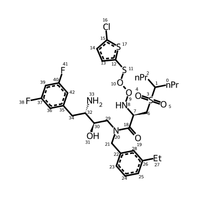 CCCC(CCC)S(=O)(=O)C[C@H](NOOSc1ccc(Cl)s1)C(=O)N(Cc1cccc(CC)c1)C[C@@H](O)[C@@H](N)Cc1cc(F)cc(F)c1